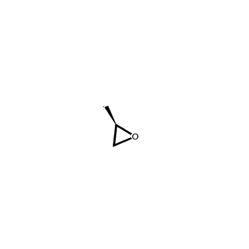 [CH2][C@@H]1CO1